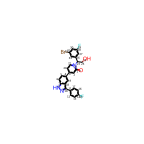 O=c1cc(-c2ccc3[nH]nc(-c4ccc(F)cc4)c3c2)ccn1C(CO)c1cc(F)cc(Br)c1